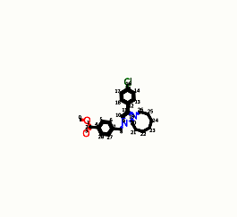 COC(=O)c1ccc(C[n+]2cc(-c3ccc(Cl)cc3)n3c2CCCCCC3)cc1